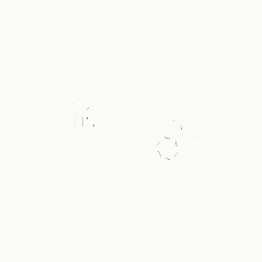 COC(=O)c1ccc(Cl)c(OCC2CCC(NC(=O)OC(C)(C)C)CC2)c1